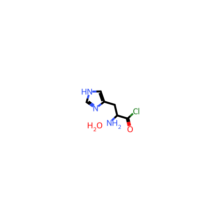 NC(Cc1c[nH]cn1)C(=O)Cl.O